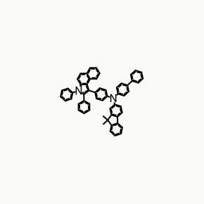 CC1(C)c2ccccc2-c2ccc(N(c3ccc(-c4ccccc4)cc3)c3ccc(-c4c(-c5ccccc5)n(-c5ccccc5)c5ccc6ccccc6c45)cc3)cc21